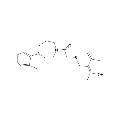 C=C(C)/C(CSCC(=O)N1CCCN(c2ccccc2C)CC1)=C(/C)O